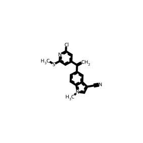 C=C(c1cc(Cl)nc(SC)c1)c1ccc2c(c1)c(C#N)cn2C